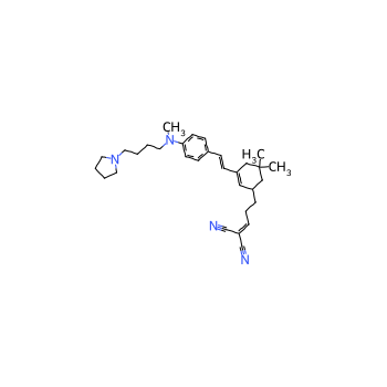 CN(CCCCN1CCCC1)c1ccc(/C=C/C2=CC(CCC=C(C#N)C#N)CC(C)(C)C2)cc1